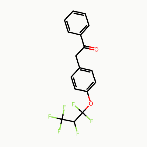 O=C(Cc1ccc(OC(F)(F)C(F)C(F)(F)F)cc1)c1ccccc1